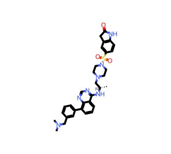 C[C@@H](CN1CCN(S(=O)(=O)c2ccc3c(c2)CC(=O)N3)CC1)Nc1ncnc2c(-c3cccc(CN(C)C)c3)cccc12